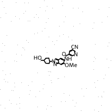 COc1cc2nn(C3CCC(CO)CC3)cc2cc1NC(=O)c1cncc(C#N)c1